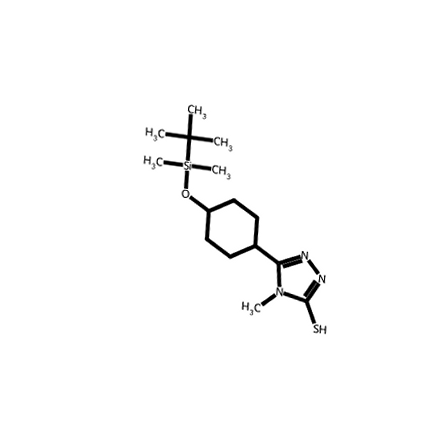 Cn1c(S)nnc1C1CCC(O[Si](C)(C)C(C)(C)C)CC1